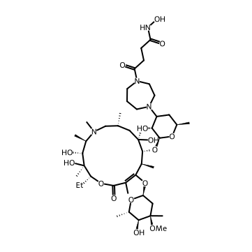 CC[C@H]1OC(=O)/C(C)=C(/O[C@H]2C[C@@](C)(OC)[C@@H](O)[C@H](C)O2)[C@H](C)[C@@H](O[C@@H]2O[C@H](C)CC(N3CCCN(C(=O)CCC(=O)NO)CC3)[C@H]2O)[C@](C)(O)C[C@@H](C)CN(C)[C@H](C)[C@@H](O)[C@]1(C)O